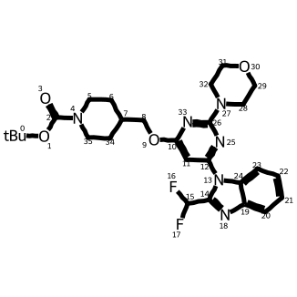 CC(C)(C)OC(=O)N1CCC(COc2cc(-n3c(C(F)F)nc4ccccc43)nc(N3CCOCC3)n2)CC1